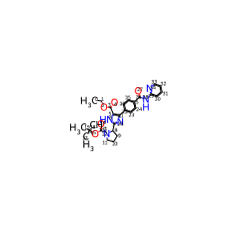 CCOC(=O)c1[nH]c(C2CCCN2C(=O)OC(C)(C)C)nc1-c1ccc(C(=O)Nc2ccccn2)cc1